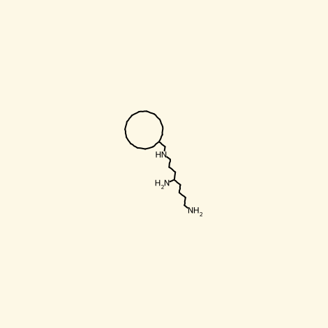 NCCCCC(N)CCCNCC1CCCCCCCCCCCCCC1